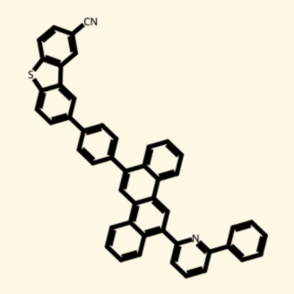 N#Cc1ccc2sc3ccc(-c4ccc(-c5cc6c7ccccc7c(-c7cccc(-c8ccccc8)n7)cc6c6ccccc56)cc4)cc3c2c1